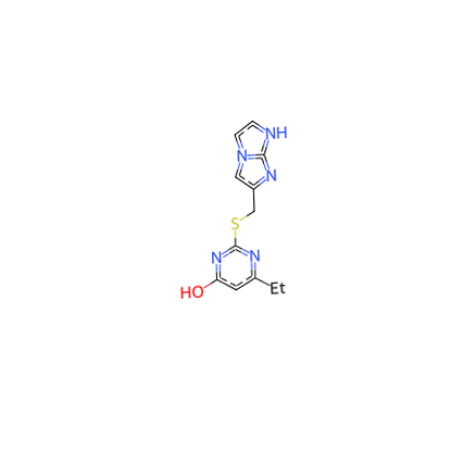 CCc1cc(O)nc(SCc2cn3cc[nH]c3n2)n1